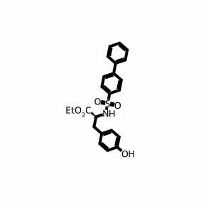 CCOC(=O)[C@H](Cc1ccc(O)cc1)NS(=O)(=O)c1ccc(-c2ccccc2)cc1